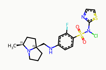 C[C@H]1CC[C@]2(CNc3ccc(S(=O)(=O)N(Cl)c4nccs4)c(F)c3)CCCN12